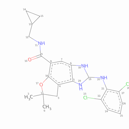 CC1(C)Cc2c3c(cc(C(=O)NCC4CC4)c2O1)NC(Nc1c(Cl)cccc1Cl)N3